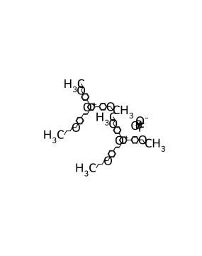 CCCCCOc1ccc(C=Cc2cc(-c3ccc(OCC)cc3)cc(-c3ccc(OCC)cc3)[o+]2)cc1.CCCCCOc1ccc(C=Cc2cc(-c3ccc(OCC)cc3)cc(-c3ccc(OCC)cc3)[o+]2)cc1.[O-]B([O-])F